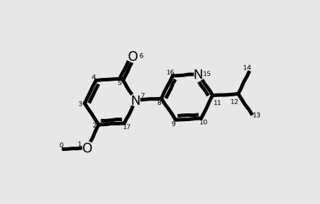 COc1ccc(=O)n(-c2ccc(C(C)C)nc2)c1